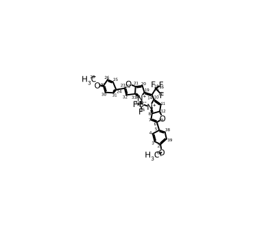 COc1ccc(C2=CC3=[N+]4C(=C[C]3O2)C(C(F)(F)F)=C2C=c3oc(-c5ccc(OC)cc5)cc3=[N+]2[B-]4(F)F)cc1